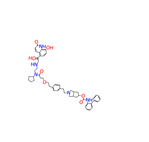 O=C(Nc1ccccc1-c1ccccc1)OC1CC2CN(CCc3ccc(CCOCCC(=O)N(CCNC[C@H](O)c4ccc(O)c5[nH]c(=O)ccc45)C4CCCC4)cc3)CC2C1